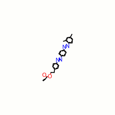 C=CC(=O)OCCc1ccc(N=Nc2ccc(N=Nc3ccc(C)cc3C)cc2)cc1